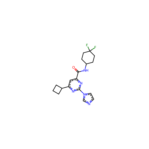 O=C(NC1CCC(F)(F)CC1)c1cc(C2CCC2)nc(-n2ccnc2)n1